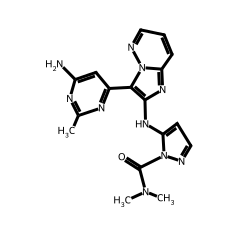 Cc1nc(N)cc(-c2c(Nc3ccnn3C(=O)N(C)C)nc3cccnn23)n1